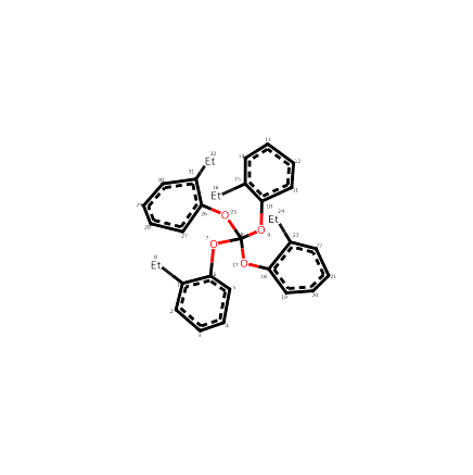 CCc1ccccc1OC(Oc1ccccc1CC)(Oc1ccccc1CC)Oc1ccccc1CC